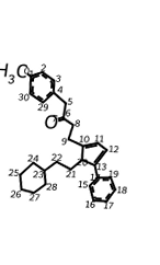 Cc1ccc(CC(=O)CCC2=CC=C(c3ccccc3)C2CCC2CCCCC2)cc1